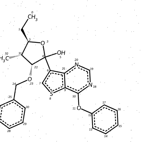 CC[C@H]1OC(O)(c2csc3c(Oc4ccccc4)ncnc23)[C@H](OCc2ccccc2)[C@@H]1C